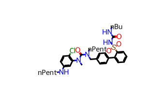 CCCCCNc1ccc(Cl)c(N(C)C(=O)N(CCCCC)Cc2ccc(-c3ccccc3S(=O)(=O)NC(=O)NCCCC)cc2)c1